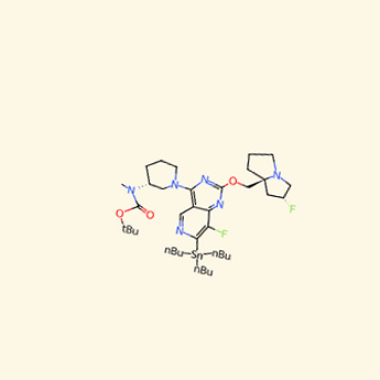 CCC[CH2][Sn]([CH2]CCC)([CH2]CCC)[c]1ncc2c(N3CCC[C@@H](N(C)C(=O)OC(C)(C)C)C3)nc(OC[C@@]34CCCN3C[C@H](F)C4)nc2c1F